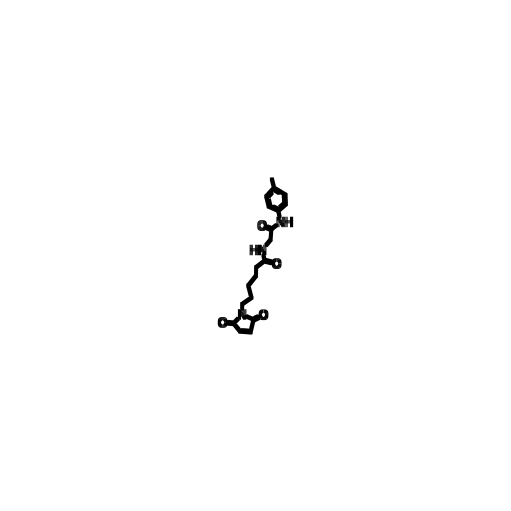 Cc1ccc(NC(=O)CNC(=O)CCCCCN2C(=O)C=CC2=O)cc1